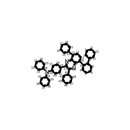 c1ccc(-c2ccccc2-c2ccc(-c3ccccc3)c3nc(-c4ccc(N(c5ccccc5)c5ccccc5)cc4)c(-c4ccccc4)nc23)cc1